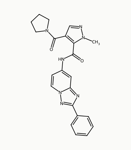 Cn1ncc(C(=O)N2CCCC2)c1C(=O)Nc1ccn2nc(-c3ccccc3)nc2c1